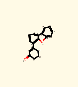 O=C1C=C(c2cccc3c2oc2ccccc23)CCC1